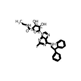 CCNC(=O)[C@H]1O[C@@H](n2cnc3c(NCC(c4ccccc4)c4ccccc4)nc(I)nc32)[C@H](O)[C@@H]1O